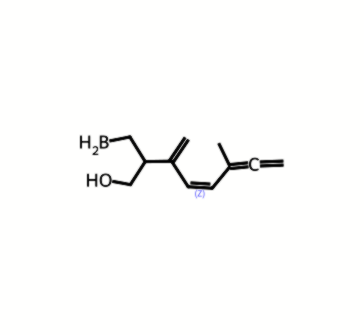 BCC(CO)C(=C)/C=C\C(C)=C=C